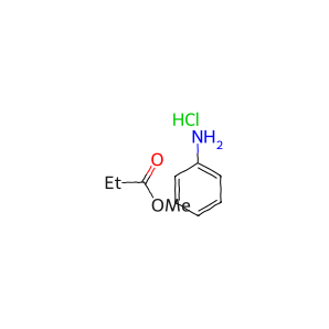 CCC(=O)OC.Cl.Nc1ccccc1